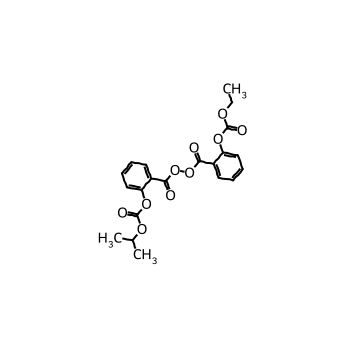 CCOC(=O)Oc1ccccc1C(=O)OOC(=O)c1ccccc1OC(=O)OC(C)C